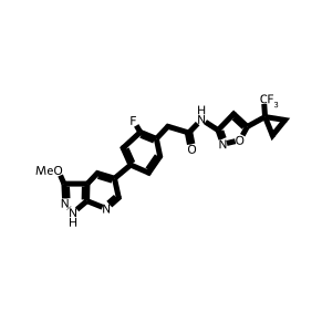 COc1n[nH]c2ncc(-c3ccc(CC(=O)Nc4cc(C5(C(F)(F)F)CC5)on4)c(F)c3)cc12